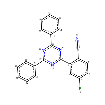 N#Cc1ccc(F)cc1-c1nc(-c2ccccc2)nc(-c2ccccc2)n1